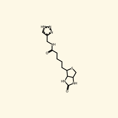 O=C(CCCCC1SCC2NC(=O)NC21)NCc1c[nH]nn1